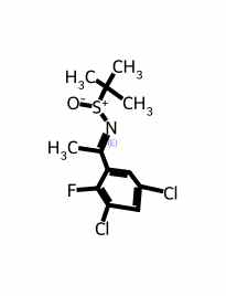 C/C(=N\[S+]([O-])C(C)(C)C)c1cc(Cl)cc(Cl)c1F